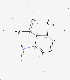 C=C(C)c1c(C)cccc1N=O